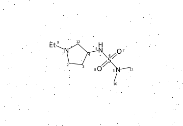 CCN1CCC(NS(=O)(=O)N(C)C)C1